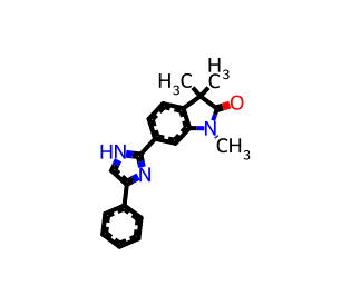 CN1C(=O)C(C)(C)c2ccc(-c3nc(-c4ccccc4)c[nH]3)cc21